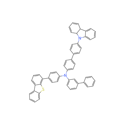 C1=CC2c3ccccc3N(c3ccc(-c4ccc(N(c5ccc(-c6cccc7c6sc6ccccc67)cc5)c5cccc(-c6ccccc6)c5)cc4)cc3)C2C=C1